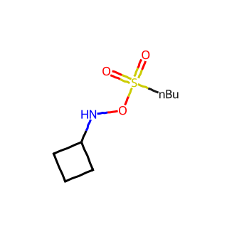 CCCCS(=O)(=O)ONC1CCC1